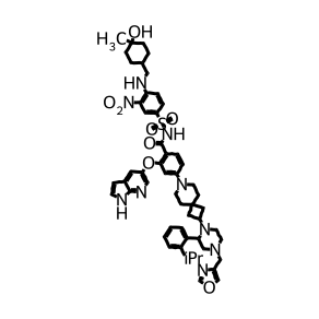 CC(C)c1ccccc1C1CN(Cc2cocn2)CCN1C1CC2(CCN(c3ccc(C(=O)NS(=O)(=O)c4ccc(NCC5CCC(C)(O)CC5)c([N+](=O)[O-])c4)c(Oc4cnc5[nH]ccc5c4)c3)CC2)C1